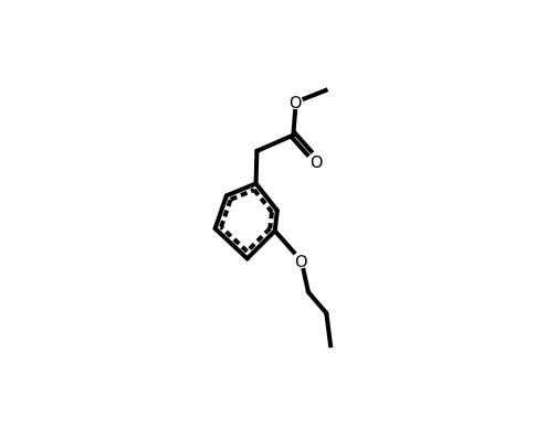 CCCOc1cccc(CC(=O)OC)c1